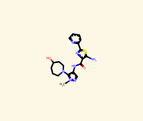 Cn1ncc(NC(=O)c2nc(-c3ccccn3)sc2N)c1N1CCCC(O)CC1